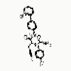 CC#CCC(C(=O)Nc1ccc(-c2cccc[n+]2[O-])cc1)N(C(N)=O)c1ccc(Cl)cc1